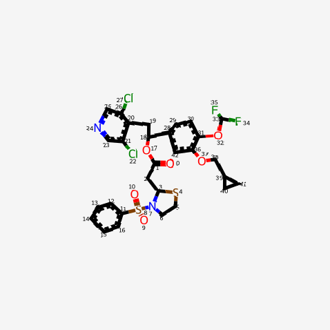 O=C(CC1SCCN1S(=O)(=O)c1ccccc1)OC(Cc1c(Cl)cncc1Cl)c1ccc(OC(F)F)c(OCC2CC2)c1